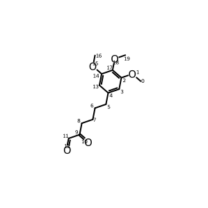 COc1cc(CCCCC(=O)C=O)cc(OC)c1OC